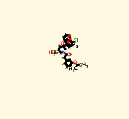 CC[N+]12CCC(CC1)CC2OC1(c2ccc(Cl)c(Cl)c2)CCCN(C(=O)Cc2cccc(OC(C)C)c2)C1.O.[Cl-]